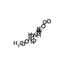 COc1ccc(Nc2ncccc2C(=O)NCc2cn(Cc3cccc(Oc4ccccc4)c3)nn2)cc1